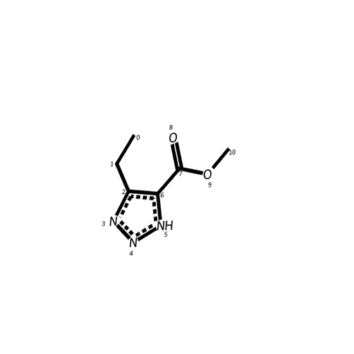 CCc1nn[nH]c1C(=O)OC